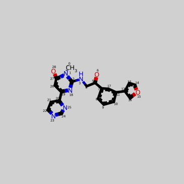 Cn1c(NCC(=O)c2cccc(-c3ccoc3)c2)nc(-c2ccncn2)cc1=O